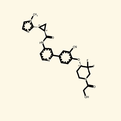 Cn1ccnc1[C@@H]1C[C@H]1C(=O)Nc1ccnc(-c2ccc(O[C@H]3CCN(C(=O)CO)CC3(F)F)c(C#N)c2)c1